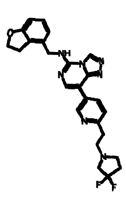 FC1(F)CCN(CCc2ccc(-c3cnc(NCc4cccc5c4CCO5)n4cnnc34)cn2)C1